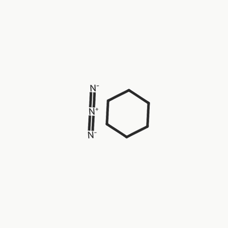 C1CCCCC1.[N-]=[N+]=[N-]